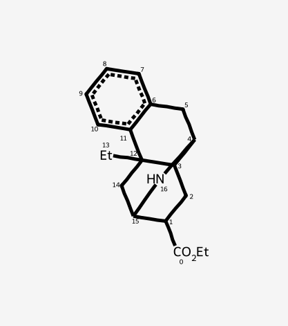 CCOC(=O)C1CC2C3Cc4ccccc4C2(CC)CC1N3